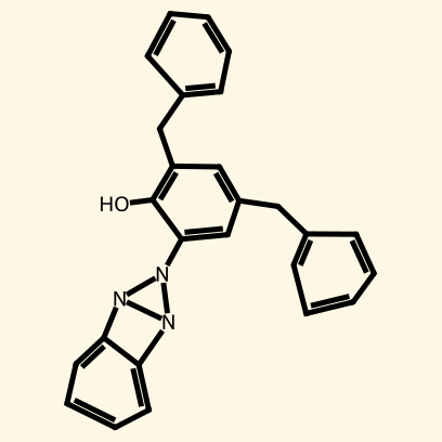 Oc1c(Cc2ccccc2)cc(Cc2ccccc2)cc1-n1n2c3ccccc3n12